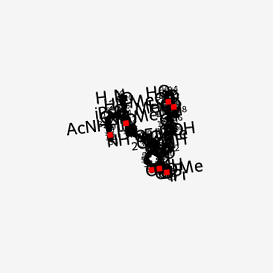 CCN(C(=O)OCc1ccc(NC(=O)[C@H](CCCNC(N)=O)NC(=O)[C@@H](NC(=O)[C@H](CCCCN)NC(C)=O)C(C)C)cc1)[C@H]1CO[C@@H](O[C@H]2[C@H](O[C@H]3C#CC=CC#C[C@]4(O)CC(=O)C(NC(=O)OC)=C3/C4=C\CSSC(C)C)O[C@H](C)[C@@H](NO[C@H]3C[C@H](O)[C@H](SC(=O)c4c(C)c(I)c(O[C@@H]5O[C@@H](C)[C@H](O)[C@@H](OC)[C@H]5O)c(OC)c4OC)[C@@H](C)O3)[C@@H]2O)C[C@@H]1OC